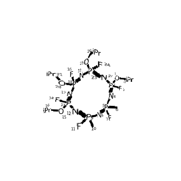 CC(C)OP1(F)=NP(C)(F)=NP(C)(F)=NP(F)(OC(C)C)=NP(F)(OC(C)C)=NP(F)(OC(C)C)=N1